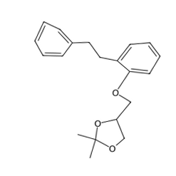 CC1(C)OCC(COc2ccccc2CCc2ccccc2)O1